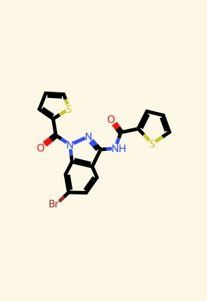 O=C(Nc1nn(C(=O)c2cccs2)c2cc(Br)ccc12)c1cccs1